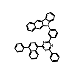 c1ccc(-c2nc(-c3cccc(-n4c5ccccc5c5cc6ccccc6cc54)c3)nc(-c3ccc(-c4ccccc4)c4ccccc34)n2)cc1